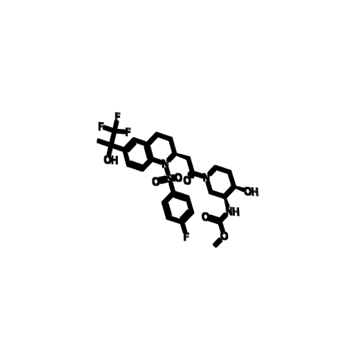 COC(=O)N[C@H]1CN(C(=O)C[C@@H]2CCc3cc(C(C)(O)C(F)(F)F)ccc3N2S(=O)(=O)c2ccc(F)cc2)CC[C@H]1O